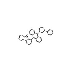 C1=CC(c2cccc(-c3c4ccccc4c(-c4cccc5c4sc4ccccc45)c4ccccc34)c2)=CCC1